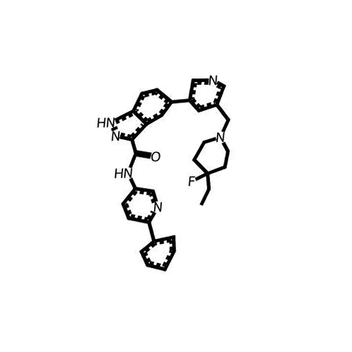 CCC1(F)CCN(Cc2cncc(-c3ccc4[nH]nc(C(=O)Nc5ccc(-c6ccccc6)nc5)c4c3)c2)CC1